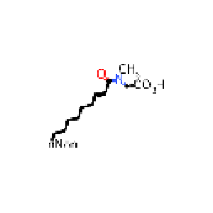 CCCCCCCCCCCCCCCC=CC(=O)N(C)CC(=O)O